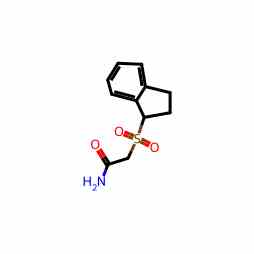 NC(=O)CS(=O)(=O)C1CCc2ccccc21